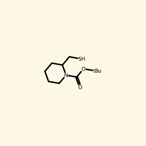 CC(C)(C)OC(=O)N1CCCCC1CS